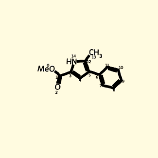 COC(=O)c1cc(-c2ccccc2)c(C)[nH]1